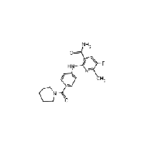 Cc1nc(Nc2ccc(C(=O)N3CCCCC3)cc2)c(C(N)=O)cc1F